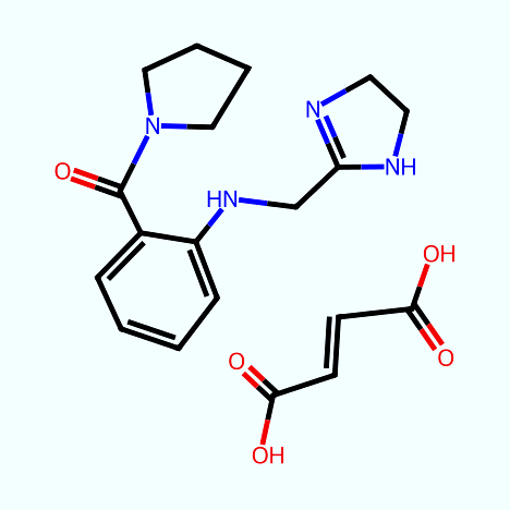 O=C(O)C=CC(=O)O.O=C(c1ccccc1NCC1=NCCN1)N1CCCC1